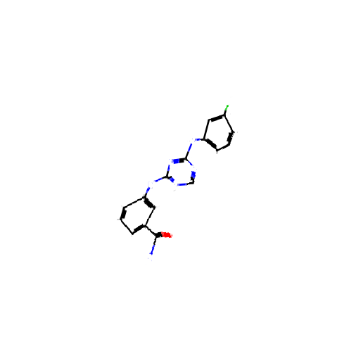 NC(=O)c1cccc(Nc2ncnc(Nc3cccc(Cl)c3)n2)c1